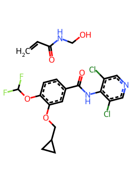 C=CC(=O)NCO.O=C(Nc1c(Cl)cncc1Cl)c1ccc(OC(F)F)c(OCC2CC2)c1